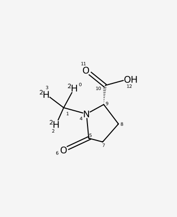 [2H]C([2H])([2H])N1C(=O)CC[C@H]1C(=O)O